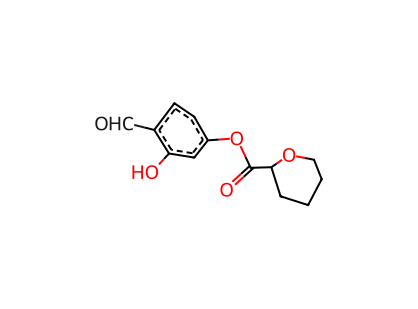 O=Cc1ccc(OC(=O)C2CCCCO2)cc1O